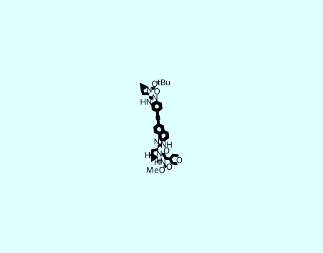 COC(=O)N[C@H](C(=O)N1[C@@H]2C[C@@H]2C[C@H]1c1nc2c(ccc3cc(C#Cc4ccc5nc([C@@H]6CC7CC7N6C(=O)OC(C)(C)C)[nH]c5c4)ccc32)[nH]1)C1CCOCC1